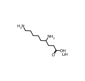 NCCCCCC(N)CCC(=O)O.[LiH]